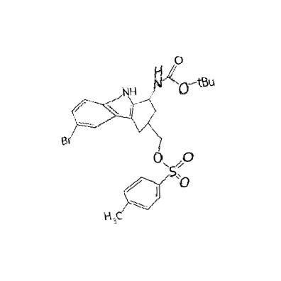 Cc1ccc(S(=O)(=O)OCC2Cc3c([nH]c4ccc(Br)cc34)C(NC(=O)OC(C)(C)C)C2)cc1